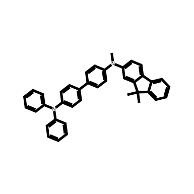 CN(c1ccc(-c2ccc(N(c3ccccc3)c3ccccc3)cc2)cc1)c1ccc2c(c1)C(C)(C)c1ccccc1-2